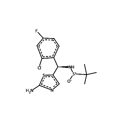 CC(C)(C)[S+]([O-])N[C@@H](c1cnc(N)s1)c1ccc(F)cc1Cl